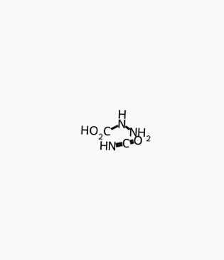 N=C=O.NNC(=O)O